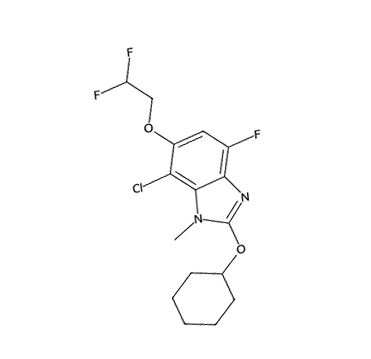 Cn1c(OC2CCCCC2)nc2c(F)cc(OCC(F)F)c(Cl)c21